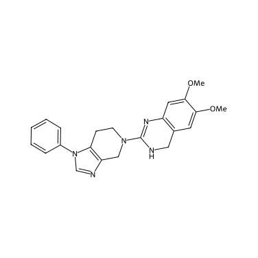 COc1cc2c(cc1OC)N=C(N1CCc3c(ncn3-c3ccccc3)C1)NC2